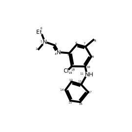 CCN(C)C=Nc1cc(C)cc(Nc2ccccc2)c1Cl